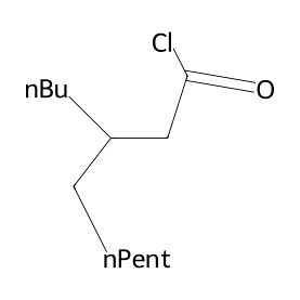 CCCCCCC(CCCC)CC(=O)Cl